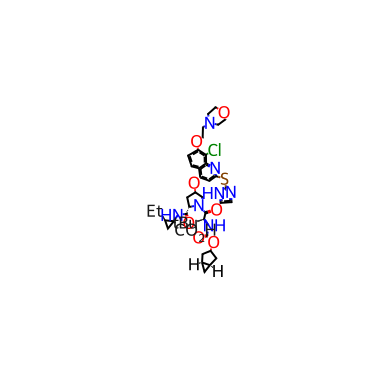 CC[C@@H]1C[C@]1(NC(=O)[C@@H]1C[C@@H](Oc2cc(Sc3ncc[nH]3)nc3c(Cl)c(OCCN4CCOCC4)ccc23)CN1C(=O)[C@@H](NC(=O)O[C@@H]1C[C@@H]2C[C@@H]2C1)C(C)(C)C)C(=O)O